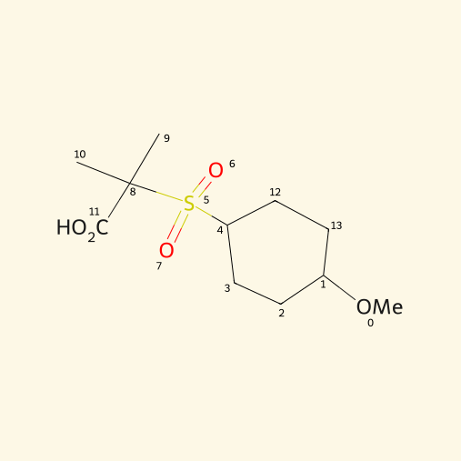 COC1CCC(S(=O)(=O)C(C)(C)C(=O)O)CC1